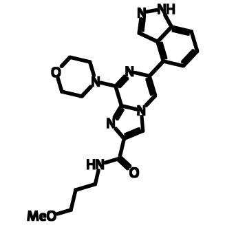 COCCCNC(=O)c1cn2cc(-c3cccc4[nH]ncc34)nc(N3CCOCC3)c2n1